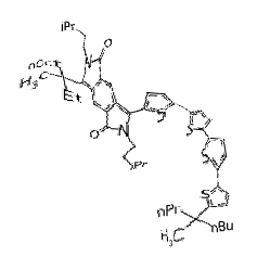 CCCCCCCCC(C)(CC)C1=c2cc3c(cc2C(=O)N1CCC(C)C)=C(c1ccc(-c2ccc(-c4ccc(-c5ccc(C(C)(CCC)CCCC)s5)s4)s2)s1)N(CCC(C)C)C3=O